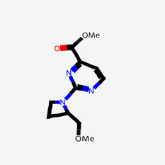 COCC1CCN1c1nccc(C(=O)OC)n1